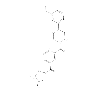 NCc1cccc(C2CCN(C(=O)c3cccc(C(=O)N4C[C@@H](O)[C@@H](O)C4)c3)CC2)c1